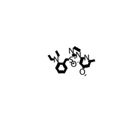 CCN(CC)c1ccccc1C[S+]([O-])c1nccn1-c1cc(OC)cc(C)n1